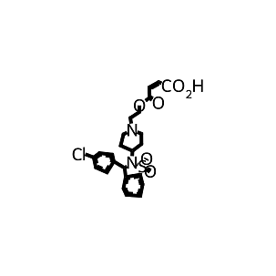 O=C(O)/C=C\C(=O)OCCN1CCC(N2C(c3ccc(Cl)cc3)c3ccccc3S2(=O)=O)CC1